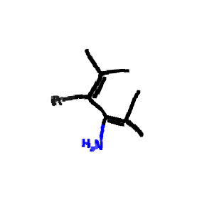 CC(C)=C(N)C(=C(C)C)C(C)C